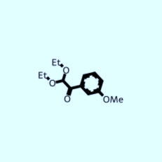 CCOC(OCC)C(=O)c1cccc(OC)c1